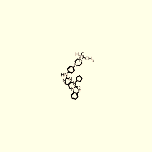 CC(C)N1CCN(c2ccc(Nc3ncc4c(n3)N(C3CCCC3)C(=O)N(c3ccccc3F)C4)cc2)CC1